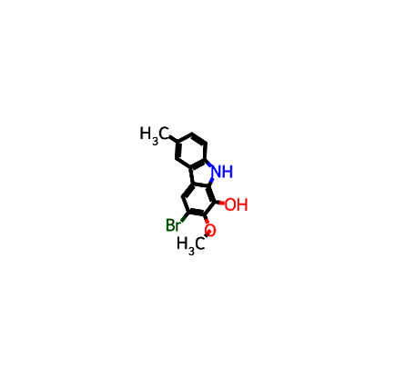 COc1c(Br)cc2c([nH]c3ccc(C)cc32)c1O